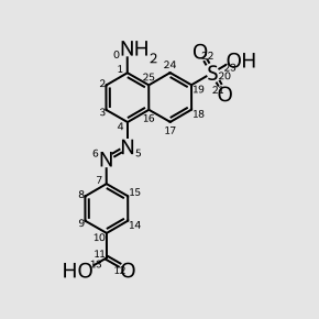 Nc1ccc(N=Nc2ccc(C(=O)O)cc2)c2ccc(S(=O)(=O)O)cc12